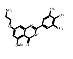 COc1cc(OCCN)cc2nc(-c3cc(C)c(O)c(C)c3)[nH]c(=O)c12